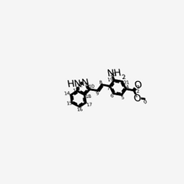 COC(=O)c1ccc(/C=C/c2n[nH]c3ccccc23)c(N)c1